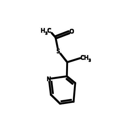 CC(=O)SC(C)c1ccccn1